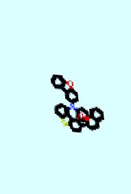 c1ccc(N(c2ccc3oc4ccccc4c3c2)c2cccc3sc4ccc5c6ccc7ccccc7c6oc5c4c23)cc1